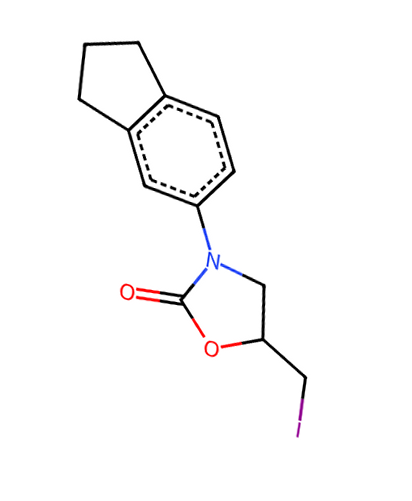 O=C1OC(CI)CN1c1ccc2c(c1)CCC2